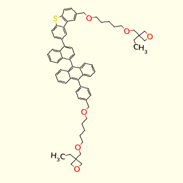 CCC1(COCCCCCOCc2ccc(-c3c4ccccc4c(-c4ccc(-c5ccc6sc7ccc(COCCCCCOCC8(CC)COC8)cc7c6c5)c5ccccc45)c4ccccc34)cc2)COC1